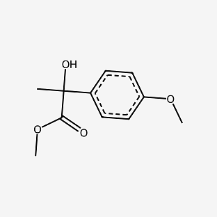 COC(=O)C(C)(O)c1ccc(OC)cc1